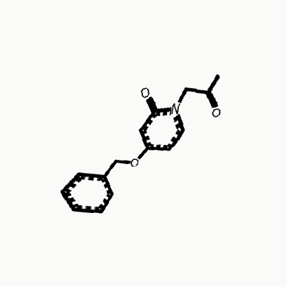 CC(=O)Cn1ccc(OCc2ccccc2)cc1=O